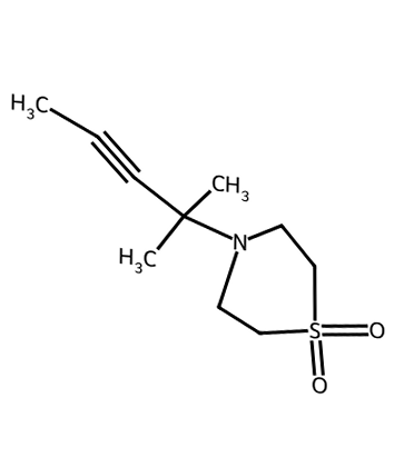 CC#CC(C)(C)N1CCS(=O)(=O)CC1